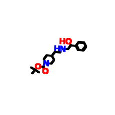 CC(C)(C)OC(=O)N1CCC(CCNCC(O)c2ccccc2)CC1